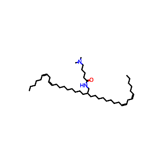 CCCCC/C=C\C/C=C\CCCCCCCCC(CCCCCCCC/C=C\C/C=C\CCCCC)CNC(=O)CCCCN(C)C